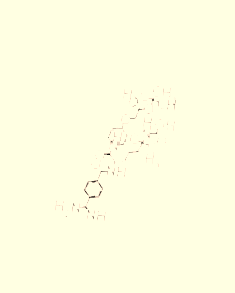 CC(C)(CCC[C@H](NC(=O)c1ccc(C(=N)N)cc1)C(=O)N1CCC(OCC(=O)OC(C)(C)C)CC1)NC(=O)O